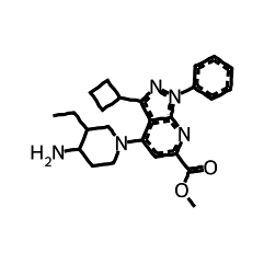 CCC1CN(c2cc(C(=O)OC)nc3c2c(C2CCC2)nn3-c2ccccc2)CCC1N